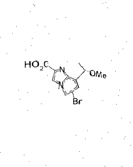 CO[C@@H](C)c1cc(Br)cn2cc(C(=O)O)nc12